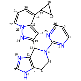 c1cnc(N2CCc3[nH]cnc3[C@@H]2c2cc3c(C4CC4)cccn3n2)nc1